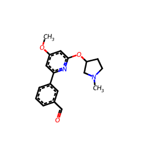 COc1cc(OC2CCN(C)C2)nc(-c2cccc(C=O)c2)c1